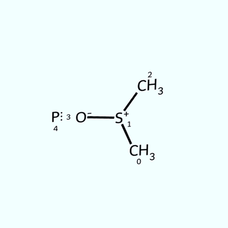 C[S+](C)[O-].[P]